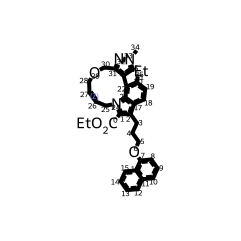 CCOC(=O)c1c(CCCOc2cccc3ccccc23)c2ccc(C)c3c2n1C/C=C\COCc1nn(C)c(CC)c1-3